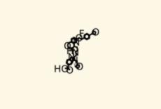 O=C(O)c1ccc2nc(CN3CCC4c5nc(OCc6ccc(C7COC7)cc6F)ccc5COC[C@H]4C3)n(C[C@@H]3CCO3)c2c1